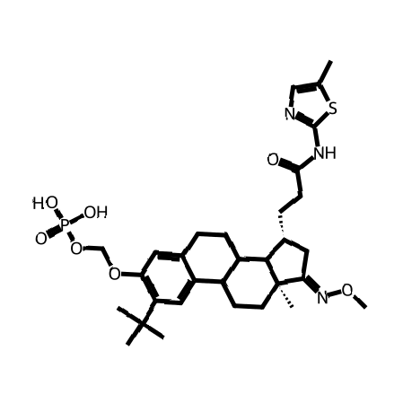 CO/N=C1\C[C@@H](CCC(=O)Nc2ncc(C)s2)C2C3CCc4cc(OCOP(=O)(O)O)c(C(C)(C)C)cc4C3CC[C@]12C